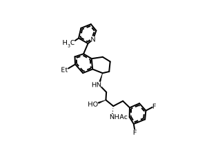 CCc1cc(-c2ncccc2C)c2c(c1)[C@H](NC[C@H](O)[C@H](Cc1cc(F)cc(F)c1)NC(C)=O)CCC2